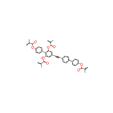 C=C(C)C(=O)Oc1ccc(-c2ccc(C#Cc3cc(OC(=O)C(=C)C)c(-c4ccc(OC(=O)C(=C)C)cc4)c(OC(=O)C(=C)C)c3)cc2)cc1